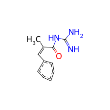 CC(=Cc1ccccc1)C(=O)NC(=N)N